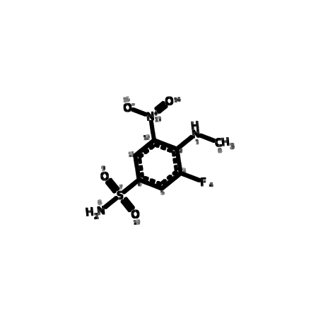 CNc1c(F)cc(S(N)(=O)=O)cc1[N+](=O)[O-]